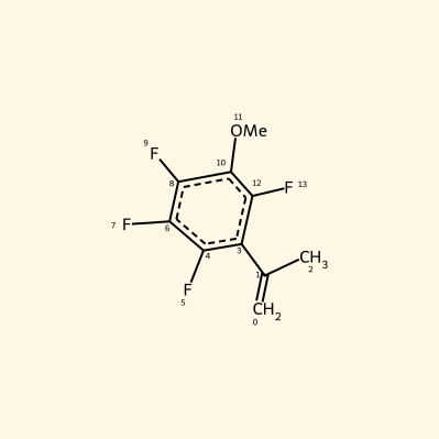 C=C(C)c1c(F)c(F)c(F)c(OC)c1F